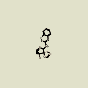 C1=NC[C@@]2(O1)C(Nc1nnc3ccccc3n1)N1CC[C@@H]2C1